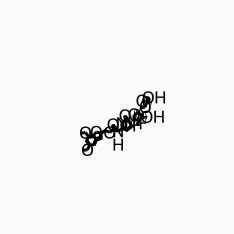 COc1cc(OC)c2oc(COC(=O)Nc3ccn([C@@H]4O[C@H](COP(C)(=O)O)[C@@H](O)C4(F)F)c(=O)n3)cc2c1